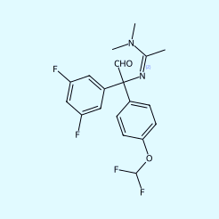 C/C(=N/C(C=O)(c1ccc(OC(F)F)cc1)c1cc(F)cc(F)c1)N(C)C